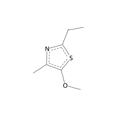 CCc1nc(C)c(OC)s1